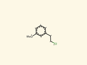 COc1cccc(C[CH]Cl)c1